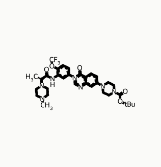 C[C@@H](C(=O)Nc1cc(-n2cnc3cc(N4CCN(C(=O)OC(C)(C)C)CC4)ccc3c2=O)ccc1OC(F)(F)F)N1CCN(C)CC1